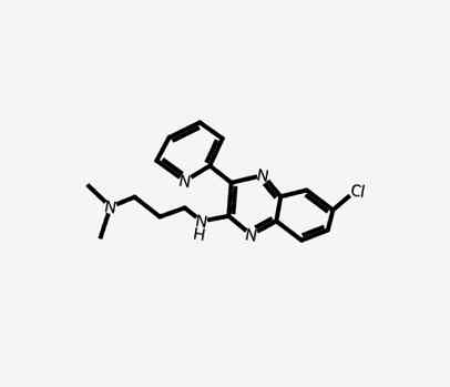 CN(C)CCCNc1nc2ccc(Cl)cc2nc1-c1ccccn1